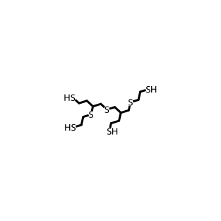 SCCSCC(CCS)CSCC(CCS)SCCS